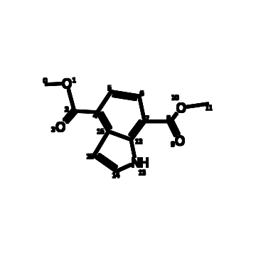 COC(=O)c1ccc(C(=O)OC)c2[nH]ccc12